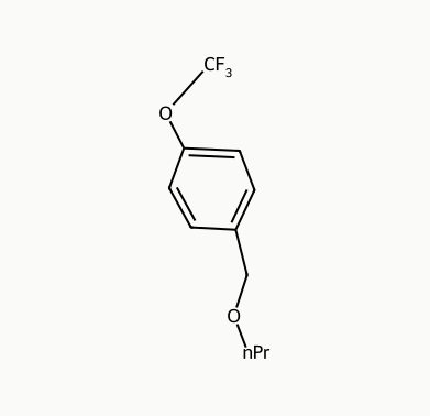 CCCOCc1ccc(OC(F)(F)F)cc1